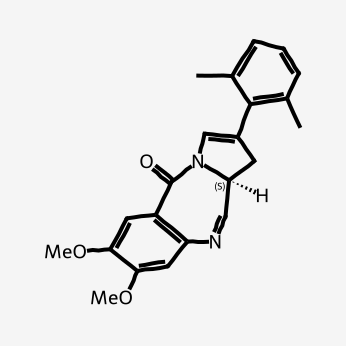 COc1cc2c(cc1OC)C(=O)N1C=C(c3c(C)cccc3C)C[C@H]1C=N2